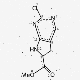 COC(=O)C1Cc2cnc(Cl)nc2N1